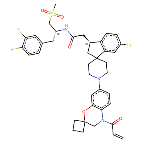 C=CC(=O)N1CC2(CCC2)Oc2cc(N3CCC4(CC3)C[C@@H](CC(=O)N[C@H](Cc3ccc(F)c(F)c3)CS(C)(=O)=O)c3ccc(F)cc34)ccc21